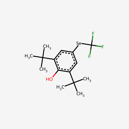 CC(C)(C)c1cc([Se]C(F)(F)F)cc(C(C)(C)C)c1O